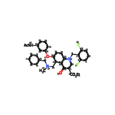 CCOC(=O)c1cn(Cc2c(F)cccc2F)c2ccc(Oc3cccc(NC(C)=O)c3)c(CN(C)Cc3ccccc3)c2c1=O